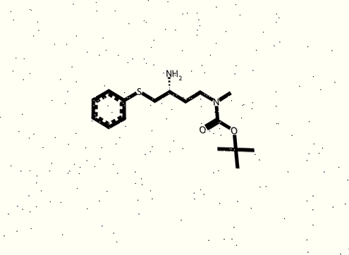 CN(CC[C@@H](N)CSc1ccccc1)C(=O)OC(C)(C)C